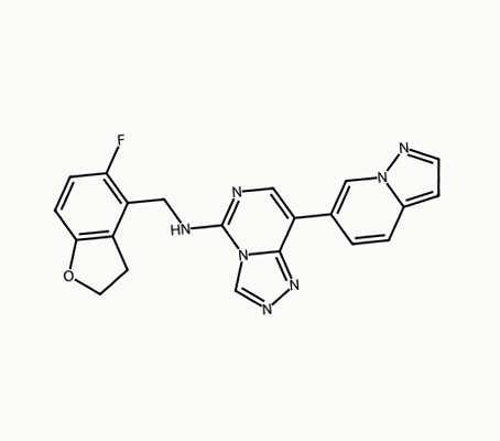 Fc1ccc2c(c1CNc1ncc(-c3ccc4ccnn4c3)c3nncn13)CCO2